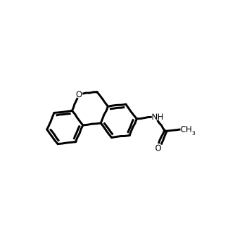 CC(=O)Nc1ccc2c(c1)COc1ccccc1-2